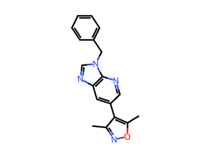 Cc1noc(C)c1-c1cnc2c(c1)ncn2Cc1ccccc1